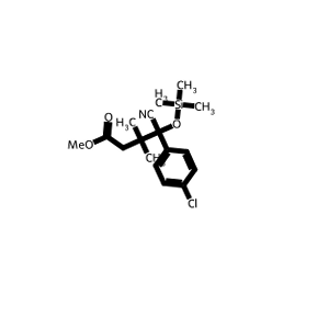 COC(=O)CC(C)(C)C(C#N)(O[Si](C)(C)C)c1ccc(Cl)cc1